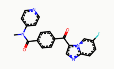 CN(C(=O)c1ccc(C(=O)c2cnc3ccc(F)cn23)cc1)c1ccncc1